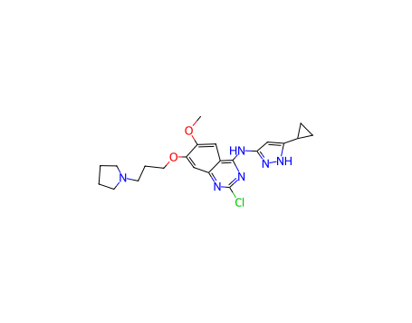 COc1cc2c(Nc3cc(C4CC4)[nH]n3)nc(Cl)nc2cc1OCCCN1CCCC1